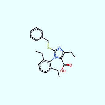 CCc1cccc(CC)c1-n1c(SCc2ccccc2)nc(CC)c1C(=O)O